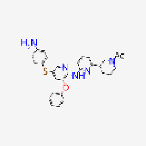 CC(=O)N1CCCC(c2cccc(Nc3ncc(SC4=CC=C(N)CC4)cc3Oc3ccccc3)n2)C1